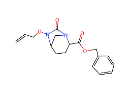 C=CCON1C(=O)N2CC1CCC2C(=O)OCc1ccccc1